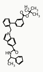 CCC(NC(=O)c1ccc2c(ccn2Cc2ccccc2-c2cccc(C(=O)OC(C)(C)C)c2)c1)c1ccccc1